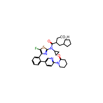 O=C(O)CC(CC1CCCC1)C(=O)N(c1nc(-c2ccccc2-c2ccc(N3CCCCC3=O)nc2)c(F)s1)C1CC1